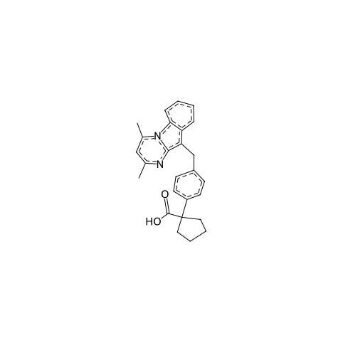 Cc1cc(C)n2c(n1)c(Cc1ccc(C3(C(=O)O)CCCC3)cc1)c1ccccc12